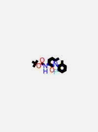 Cc1cccc(F)c1-n1c(C)ccc(NC(=O)OC(C)(C)C)c1=O